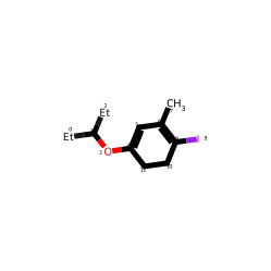 CCC(CC)OC1=CC(C)=C(I)CC1